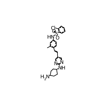 Cc1cc(NS(=O)(=O)c2ccccc2Cl)ccc1/C=C/c1cnc(NC2CCC(N)CC2)nc1